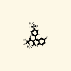 Cc1nc2ccc(I)cc2c(-c2ccc(S(C)(=O)=O)cc2)c1C(=O)C(F)(F)F